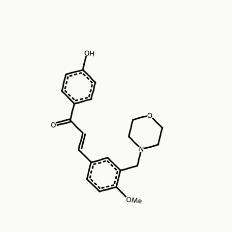 COc1ccc(C=CC(=O)c2ccc(O)cc2)cc1CN1CCOCC1